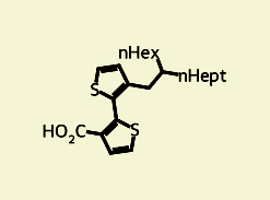 CCCCCCCC(CCCCCC)Cc1ccsc1-c1sccc1C(=O)O